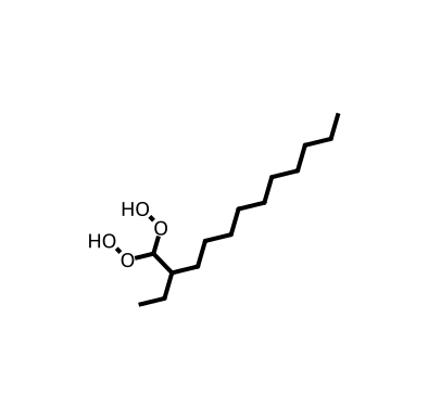 CCCCCCCCCCC(CC)C(OO)OO